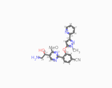 COc1nc(-c2ccc(C#N)cc2Oc2cc(-c3ccccn3)nn2C)ncc1C(O)CN